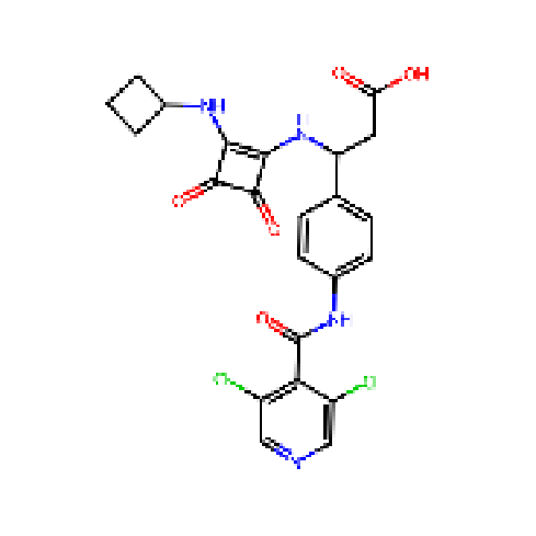 O=C(O)CC(Nc1c(NC2CCC2)c(=O)c1=O)c1ccc(NC(=O)c2c(Cl)cncc2Cl)cc1